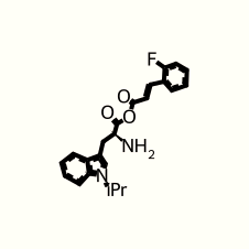 CC(C)n1cc(C[C@H](N)C(=O)OC(=O)C=Cc2ccccc2F)c2ccccc21